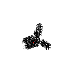 CCOCC(CC(F)(F)C(F)(F)C(F)(F)C(F)(F)C(F)(F)C(F)(F)F)[SiH](O[SiH](C(COCC)CC(F)(F)C(F)(F)C(F)(F)C(F)(F)C(F)(F)C(F)(F)F)C(COCC)CC(F)(F)C(F)(F)C(F)(F)C(F)(F)C(F)(F)C(F)(F)F)C(COCC)CC(F)(F)C(F)(F)C(F)(F)C(F)(F)C(F)(F)C(F)(F)F